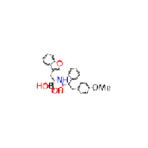 COc1ccc(CC(C(=O)NC(Cc2coc3ccccc23)B(O)O)c2ccccc2)cc1